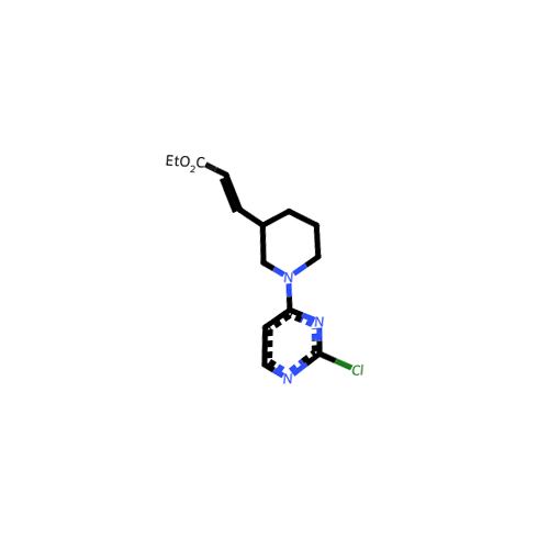 CCOC(=O)C=CC1CCCN(c2ccnc(Cl)n2)C1